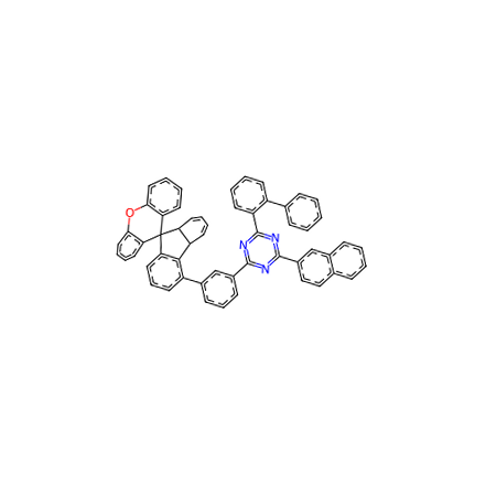 C1=CC2c3c(-c4cccc(-c5nc(-c6ccc7ccccc7c6)nc(-c6ccccc6-c6ccccc6)n5)c4)cccc3C3(c4ccccc4Oc4ccccc43)C2C=C1